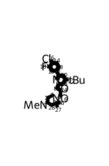 CNC1CCN(C(=O)c2cc3nc(-c4ccc(Cl)c(F)c4)cc(C(C)(C)C)c3o2)C(C)(C)C1